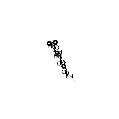 CCOC(=O)Cc1ccc2c(c1)CCN(CCN1C[C@H]3CC(OC(=O)Nc4ccccc4-c4ccccc4)C[C@H]3C1)C2=O